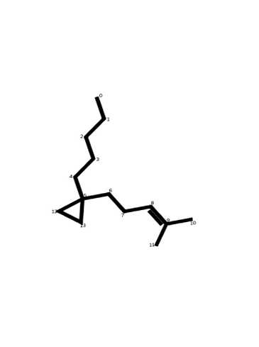 CCCCCC1(CCC=C(C)C)CC1